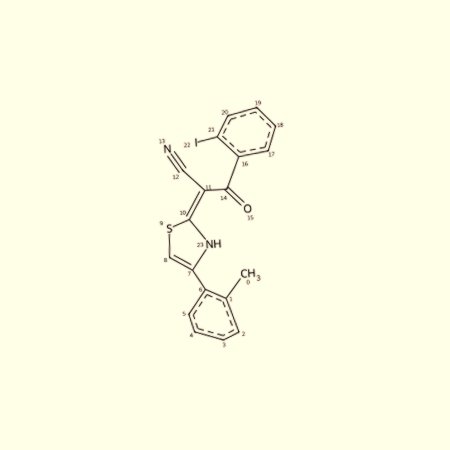 Cc1ccccc1C1=CS/C(=C(\C#N)C(=O)c2ccccc2I)N1